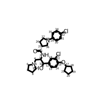 O=C(NC(CN1CCCC1)C(O)c1ccc(OC2CCCC2)c(Cl)c1)[C@@H]1CCN(c2ccc(Cl)cc2)C1